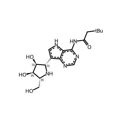 CC(C)(C)CC(=O)Nc1ncnc2c([C@@H]3N[C@H](CO)[C@@H](O)[C@H]3O)c[nH]c12